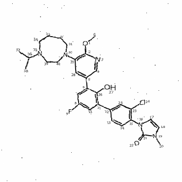 COc1ncc(-c2cc(F)cc(-c3ccc(-n4ccn(C)c4=O)c(Cl)c3)c2O)cc1N1CCCCN(C(C)C)CC1